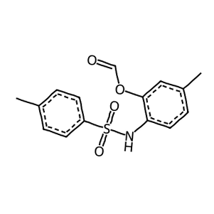 Cc1ccc(S(=O)(=O)Nc2ccc(C)cc2OC=O)cc1